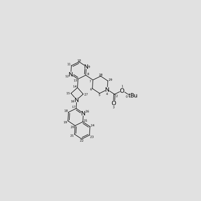 CC(C)(C)OC(=O)N1CCC(c2nccnc2C2CN(c3ccc4ccccc4n3)C2)CC1